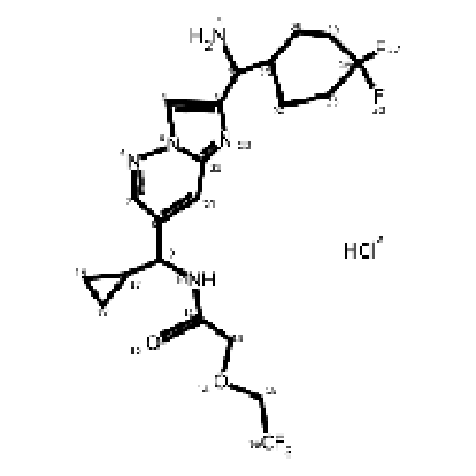 Cl.NC(c1cn2ncc(C(NC(=O)COCC(F)(F)F)C3CC3)cc2n1)C1CCC(F)(F)CC1